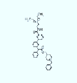 CCOC(CCNC(=O)c1cncc(-c2cccc(C(C(=O)OCC3CCN(Cc4ccccc4)CC3)c3ccccc3)c2)n1)OCC